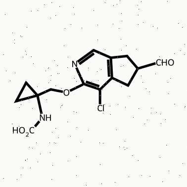 O=CC1Cc2cnc(OCC3(NC(=O)O)CC3)c(Cl)c2C1